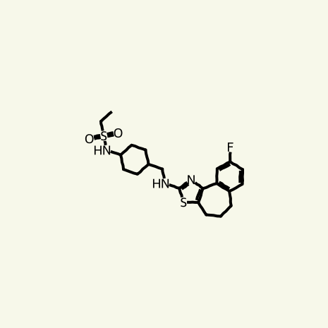 CCS(=O)(=O)NC1CCC(CNc2nc3c(s2)CCCc2ccc(F)cc2-3)CC1